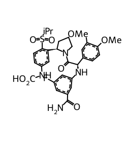 COc1ccc([C@@H](Nc2cc(F)cc(C(N)=O)c2)C(=O)N2CCC[C@@H]2c2cc(NC(=O)O)ccc2S(=O)(=O)C(C)C)cc1OC